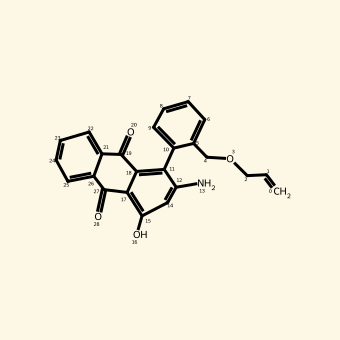 C=CCOCc1ccccc1-c1c(N)cc(O)c2c1C(=O)c1ccccc1C2=O